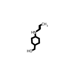 CC=CNC1CCC(CO)CC1